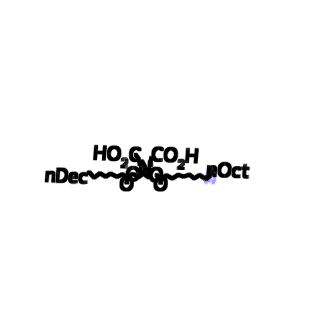 CCCCCCCC/C=C\CCCCCCCC(=O)OCC(COC(=O)CCCCCCCCCCCCCCCCC)N(CCC(=O)O)CCC(=O)O